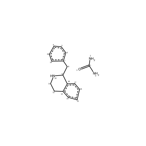 NC(N)=O.c1ccc(CC2NCCc3ccccc32)cc1